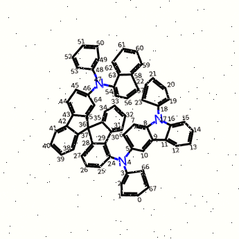 c1ccc(N(c2ccc3c(c2)c2ccccc2n3-c2ccccc2)c2cccc3c2-c2ccccc2C32c3ccccc3-c3ccc(N(c4ccccc4)c4cccc5ccccc45)cc32)cc1